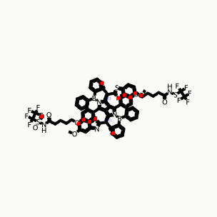 COc1ccc2sc(/C(C#N)=c3\c4c(-c5ccc(OCCCCC(=O)NS(=O)(=O)C(F)(F)C(F)(F)F)cc5)n(B(c5ccccc5)c5ccccc5)/c(=C(\C#N)c5nc6cc(OC)ccc6s5)c4c(-c4ccc(OCCCCC(=O)NSC(F)(F)C(F)(F)F)cc4)n3B(c3ccccc3)c3ccccc3)nc2c1